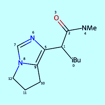 CCC(C)C(C(=O)NC)c1ncn2c1CCC2